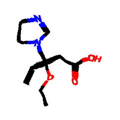 C=CC(CC(=O)O)(OCC)N1C=NCC1